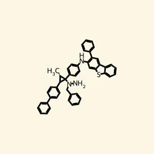 C[C@H]1C(c2ccc(-c3ccccc3)cc2)C1(c1ccc(Nc2cc3sc4ccccc4c3cc2-c2ccccc2)cc1)N(N)Cc1ccccc1